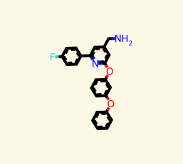 NCc1cc(Oc2cccc(Oc3ccccc3)c2)nc(-c2ccc(F)cc2)c1